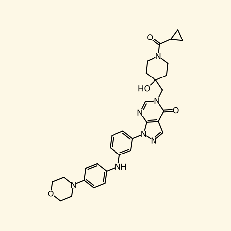 O=C(C1CC1)N1CCC(O)(Cn2cnc3c(cnn3-c3cccc(Nc4ccc(N5CCOCC5)cc4)c3)c2=O)CC1